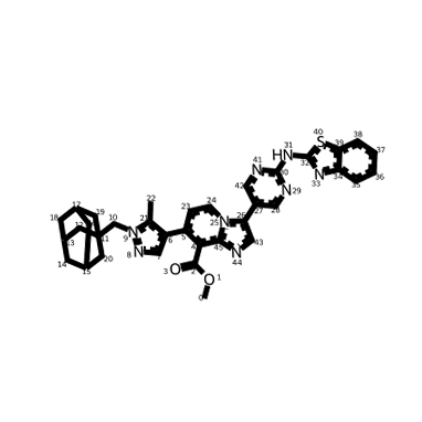 COC(=O)c1c(-c2cnn(CC34CC5CC(CC(C5)C3)C4)c2C)ccn2c(-c3cnc(Nc4nc5ccccc5s4)nc3)cnc12